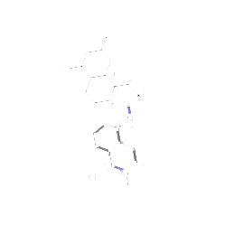 CC1CC(C)C2CCCC(CC(O)(C=Nc3cccc4c(C=O)[n+](C)ccc34)C(F)(F)F)C2C1